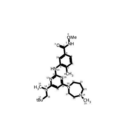 CONC(=O)c1ccc(C)c(Nc2nc(N(C)CC(C)(C)C)cc(N3CCCN(C)CC3)n2)c1